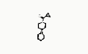 O=C(C1CC1)N1CCC(N2CCCCC2)CC1